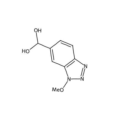 COn1nnc2ccc(C(O)O)cc21